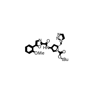 COc1ccccc1-c1cnc(C(=O)NC2C[C@H](Cn3ccnn3)N(C(=O)OC(C)(C)C)C2)o1